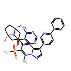 CS(=O)(=O)c1c([C@H]2C[C@H]3CC[C@@H](C2)N3C(=O)c2cncnc2N)nc2c(-c3ccc(-c4ccccc4)nc3)cnn2c1N